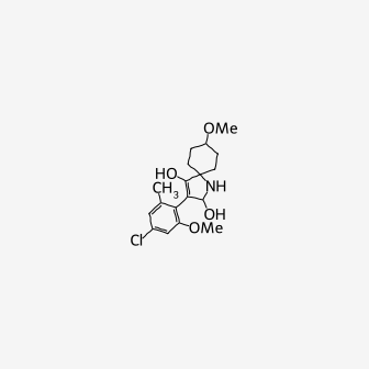 COc1cc(Cl)cc(C)c1C1=C(O)C2(CCC(OC)CC2)NC1O